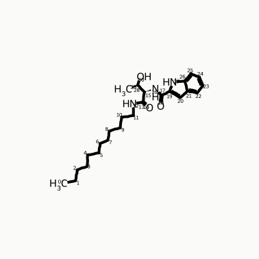 CCCCCCCCCCCCNC(=O)[C@@H](NC(=O)c1cc2ccccc2[nH]1)[C@@H](C)O